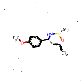 C=CC[C@@H](N[S@@+]([O-])C(C)(C)C)c1ccc(OC(F)(F)F)cc1